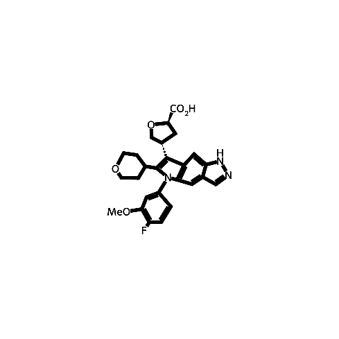 COc1cc(-n2c(C3CCOCC3)c([C@@H]3CO[C@@H](C(=O)O)C3)c3cc4[nH]ncc4cc32)ccc1F